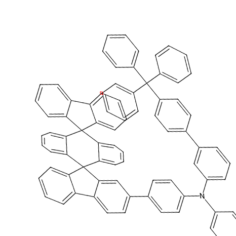 c1ccc(N(c2ccc(-c3ccc4c(c3)C3(c5ccccc5-4)c4ccccc4C4(c5ccccc5-c5ccccc54)c4ccccc43)cc2)c2cccc(-c3ccc(C(c4ccccc4)(c4ccccc4)c4ccccc4)cc3)c2)cc1